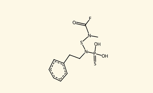 CN(SN(CCc1ccccc1)P(O)(O)=S)C(=O)F